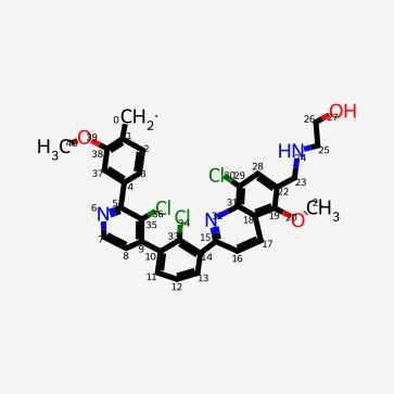 [CH2]c1ccc(-c2nccc(-c3cccc(-c4ccc5c(OC)c(CNCCO)cc(Cl)c5n4)c3Cl)c2Cl)cc1OC